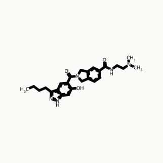 CCCCc1n[nH]c2cc(O)c(C(=O)N3Cc4ccc(C(=O)NCCN(C)C)cc4C3)cc12